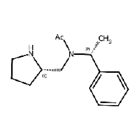 CC(=O)N(C[C@@H]1CCCN1)[C@H](C)c1ccccc1